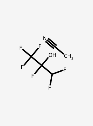 CC#N.OC(F)(C(F)F)C(F)(F)F